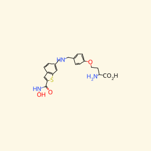 NC(CCOc1ccc(CNCc2ccc3cc(C(=O)NO)sc3c2)cc1)C(=O)O